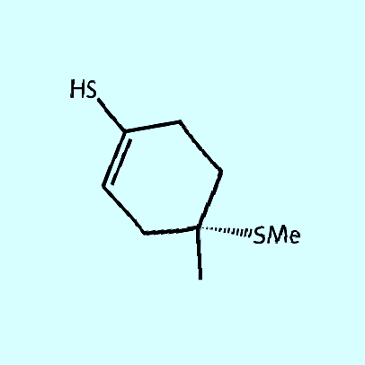 CS[C@]1(C)CC=C(S)CC1